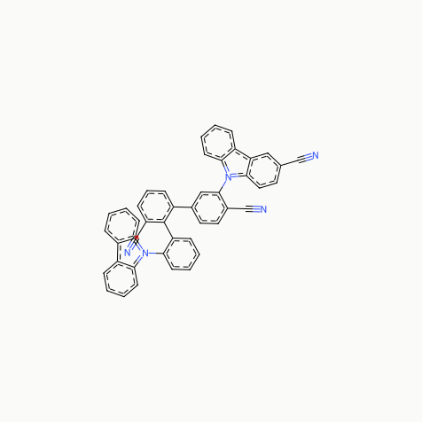 N#Cc1ccc2c(c1)c1ccccc1n2-c1cc(-c2cccc(C#N)c2-c2ccccc2-n2c3ccccc3c3ccccc32)ccc1C#N